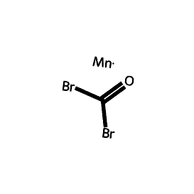 O=C(Br)Br.[Mn]